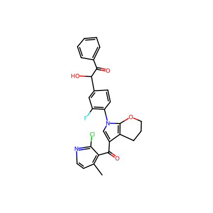 Cc1ccnc(Cl)c1C(=O)c1cn(-c2ccc(C(O)C(=O)c3ccccc3)cc2F)c2c1CCCO2